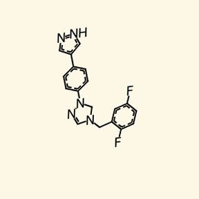 Fc1ccc(F)c(CN2C=NN(c3ccc(-c4cn[nH]c4)cc3)C2)c1